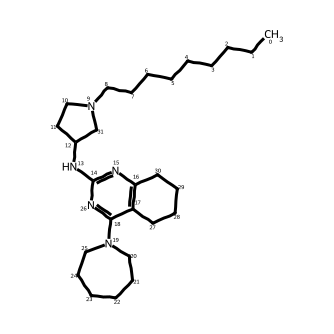 CCCCCCCCCN1CCC(Nc2nc3c(c(N4CCCCCC4)n2)CCCC3)C1